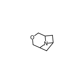 C1OCC2CC3CC1N23